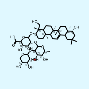 C[C@@H]1OC(O[C@H]2C(O[C@H]3CC[C@@]4(C)C(CC[C@]5(C)C4CC=C4C6CC(C)(C)C[C@@H](O)[C@]6(C)CC[C@]45C)[C@@]3(C)CO)O[C@H](C(=O)O)[C@@H](O)[C@@H]2O)[C@H](OC2OC[C@H](O)[C@H](O)[C@@H]2O)[C@H](O)[C@H]1O